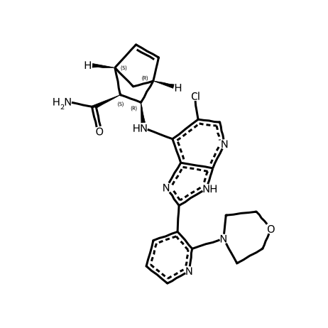 NC(=O)[C@@H]1[C@H](Nc2c(Cl)cnc3[nH]c(-c4cccnc4N4CCOCC4)nc23)[C@H]2C=C[C@@H]1C2